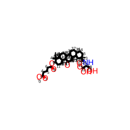 COC(=O)CCCC(=O)O[C@H]1CC[C@]2(C)[C@H]3C(=O)C=C4[C@@H]5C[C@@](C)(C(=O)NC(CO)C(=O)O)CC[C@]5(C)CC[C@@]4(C)[C@]3(C)CC[C@H]2C1(C)C